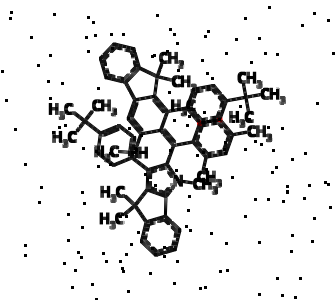 CBC1=C=C2C(=C(c3ccc(C(C)(C)C)cc3)/C1=C(\c1c(C)cc(C)cc1C)c1c(C3=CC=C(C(C)(C)C)CC3)c3c(n1C)-c1ccccc1C3(C)C)C(C)(C)c1ccccc12